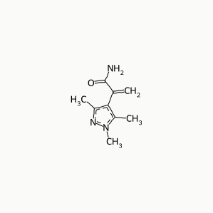 C=C(C(N)=O)c1c(C)nn(C)c1C